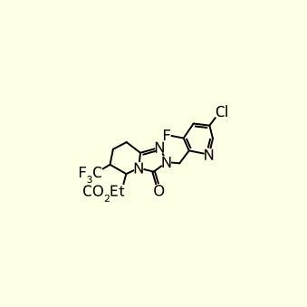 CCOC(=O)C1C(C(F)(F)F)CCc2nn(Cc3ncc(Cl)cc3F)c(=O)n21